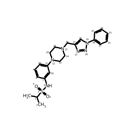 CC(C)S(=O)(=O)Nc1cccc(N2CCN(Cc3cn(-c4ccccc4)nn3)CC2)c1